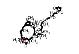 COc1cc2cc(c1Cl)N(C)C(=O)C[C@H](OC(=O)[C@H](C)N(C)C(=O)CCC(C)(C)SSCCNC(=O)CCN1C(=O)C=CC1=O)C(C)(C)O[C@H](C)[C@@H]1C[C@@](O)(NC(=O)O1)[C@H](OC)/C=C/C=C(\C)C2